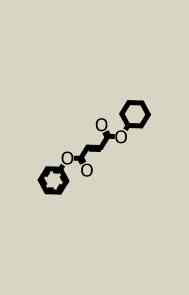 O=C(/C=C/C(=O)OC1CCCCC1)Oc1ccccc1